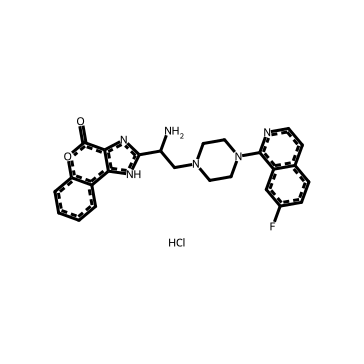 Cl.NC(CN1CCN(c2nccc3ccc(F)cc23)CC1)c1nc2c(=O)oc3ccccc3c2[nH]1